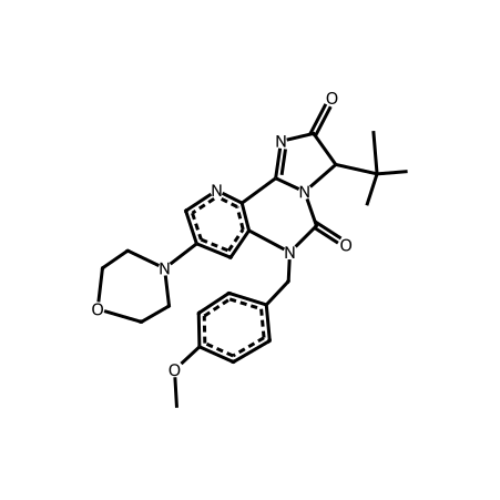 COc1ccc(CN2C(=O)N3C(=NC(=O)C3C(C)(C)C)c3ncc(N4CCOCC4)cc32)cc1